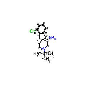 CC(C)(C)N1CCC2(CC1)Cc1c(Cl)cccc1[C@@H]2N